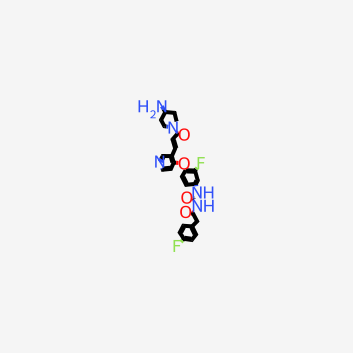 NC1CCN(C(=O)C=Cc2cnccc2Oc2ccc(NC(=O)NC(=O)Cc3ccc(F)cc3)cc2F)CC1